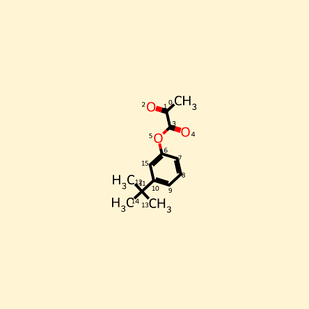 CC(=O)C(=O)Oc1cccc(C(C)(C)C)c1